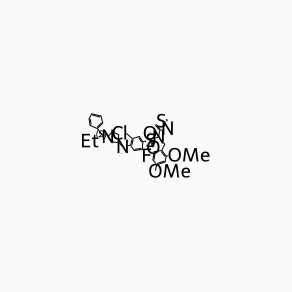 CC[C@@H](c1ccccc1)N1CCC(N(C)c2cc(F)c(S(=O)(=O)N(Cc3ccc(OC)cc3OC)c3cscn3)cc2Cl)C1